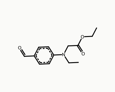 CCOC(=O)CN(CC)c1ccc(C=O)cc1